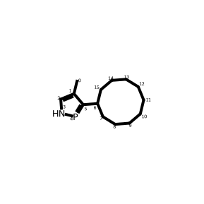 Cc1c[nH]pc1C1CCCCCCCCC1